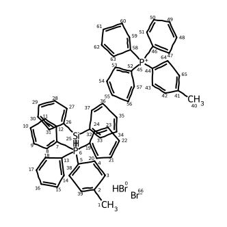 Br.Cc1ccc(P(c2ccccc2)(c2ccccc2)(c2ccccc2)[SiH](c2ccccc2)c2ccccc2)cc1.Cc1ccc([P+](c2ccccc2)(c2ccccc2)c2ccccc2)cc1.[Br-]